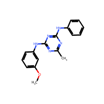 COc1cccc(Nc2nc(C)nc(Nc3ccccc3)n2)c1